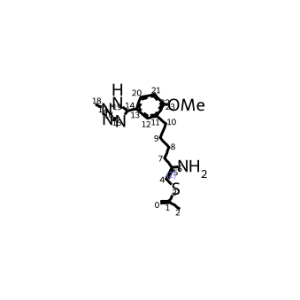 C=C(C)S/C=C(\N)CCCCc1cc(C2N=NN(C)N2)ccc1OC